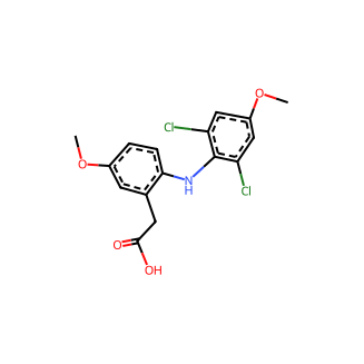 COc1cc(Cl)c(Nc2ccc(OC)cc2CC(=O)O)c(Cl)c1